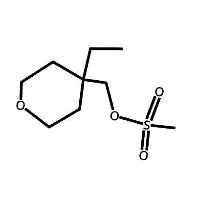 CCC1(COS(C)(=O)=O)CCOCC1